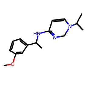 COc1cccc(C(C)NC2=NCN(C(C)C)C=C2)c1